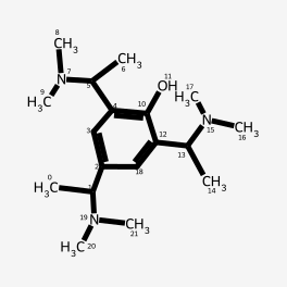 CC(c1cc(C(C)N(C)C)c(O)c(C(C)N(C)C)c1)N(C)C